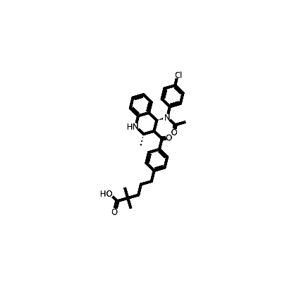 CC(=O)N(c1ccc(Cl)cc1)[C@H]1c2ccccc2N[C@@H](C)C1C(=O)c1ccc(CCCC(C)(C)C(=O)O)cc1